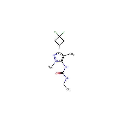 Cc1c(C2CC(F)(F)C2)nn(C)c1NC(=O)NCC(F)(F)F